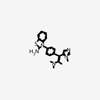 CC(=C(c1ccc(N2c3ccccc3SC2N)cc1)c1cncn1C)N(C)C